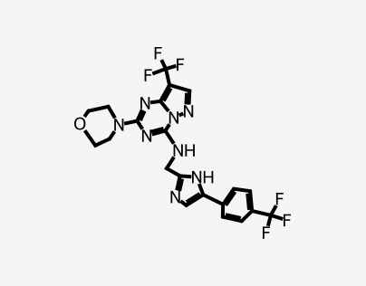 FC(F)(F)c1ccc(-c2cnc(CNc3nc(N4CCOCC4)nc4c(C(F)(F)F)cnn34)[nH]2)cc1